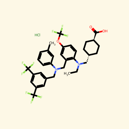 CCN(C[C@H]1CC[C@H](C(=O)O)CC1)c1ccc(OC(F)(F)F)cc1CN(Cc1cc(C(F)(F)F)cc(C(F)(F)F)c1)c1cccc(C)c1.Cl